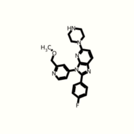 COCc1cc(-n2c(-c3ccc(F)cc3)nc3ccc(N4CCNCC4)nc32)ccn1